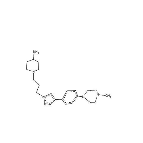 CN1CCN(c2ccc(-c3cnn(CCCN4CCC(N)CC4)c3)cc2)CC1